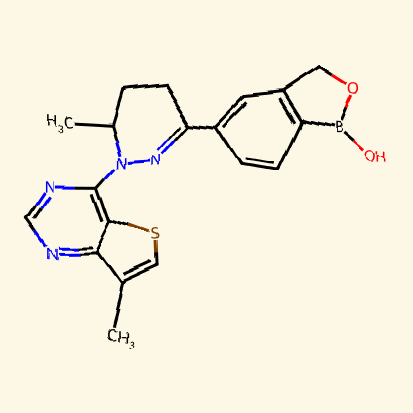 Cc1csc2c(N3N=C(c4ccc5c(c4)COB5O)CCC3C)ncnc12